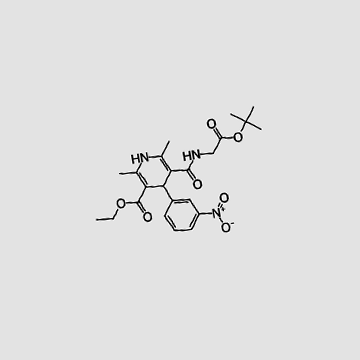 CCOC(=O)C1=C(C)NC(C)=C(C(=O)NCC(=O)OC(C)(C)C)C1c1cccc([N+](=O)[O-])c1